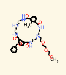 COCCOCCOCCN1CCNC(=O)c2cccc(c2C)C(=O)NCCNCCNC(=O)c2cccc(c2OCc2ccccc2)C(=O)NCC1